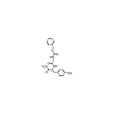 NC(=O)[C@H](Cc1ccc(O)cc1)NC(=O)CNC(=O)OCc1ccccc1